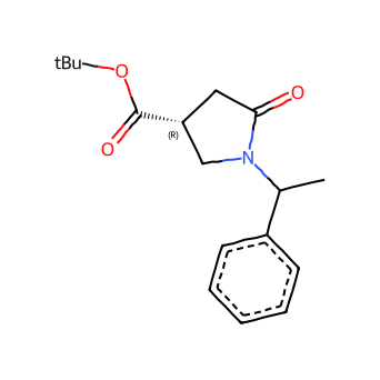 CC(c1ccccc1)N1C[C@H](C(=O)OC(C)(C)C)CC1=O